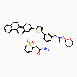 C1=C(c2ccc(-c3cccc(CNOC4CCCCO4)c3)s2)CCc2c1ccc1c2CCc2ccccc2-1.NC(=O)CC1C=CC=CS1(=O)=O